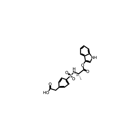 C[C@H](NS(=O)(=O)c1ccc(CC(=O)O)cc1)C(=O)Oc1c[nH]c2ccccc12